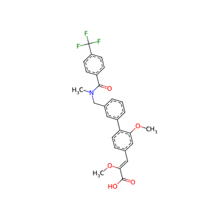 COC(=Cc1ccc(-c2cccc(CN(C)C(=O)c3ccc(C(F)(F)F)cc3)c2)c(OC)c1)C(=O)O